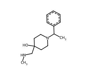 CNCC1(O)CCN(C(C)c2ccccc2)CC1